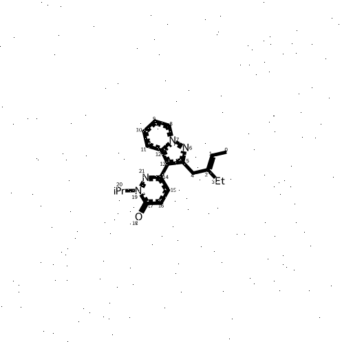 CC=C(CC)Cc1nn2ccccc2c1-c1ccc(=O)n(C(C)C)n1